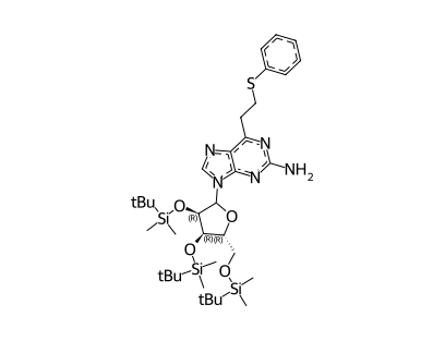 CC(C)(C)[Si](C)(C)OC[C@H]1OC(n2cnc3c(CCSc4ccccc4)nc(N)nc32)[C@H](O[Si](C)(C)C(C)(C)C)[C@@H]1O[Si](C)(C)C(C)(C)C